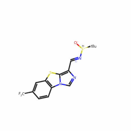 CC(C)(C)[S@+]([O-])/N=C/c1ncn2c1sc1cc(C(F)(F)F)ccc12